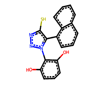 Oc1cccc(O)c1-n1nnc(S)c1-c1cccc2ccccc12